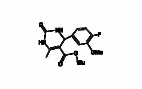 COc1cc(C2NC(=O)NC(C)=C2C(=O)OC(C)(C)C)ccc1F